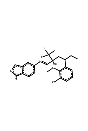 CCC(CC(O)(C=Nc1ccc2[nH]ncc2c1)C(F)(F)F)c1cccc(Cl)c1OC